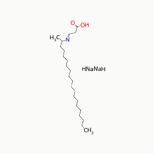 CCCCCCCCCCCCCCCCCCC(C)N=CCC(=O)O.[NaH].[NaH]